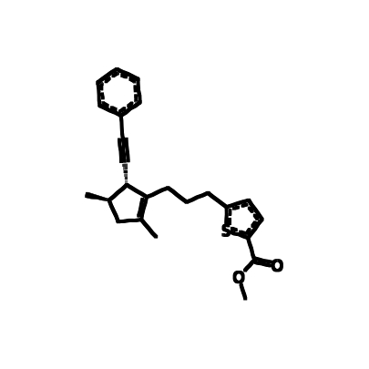 COC(=O)c1ccc(CCCC2=C(C)C[C@@H](C)[C@@H]2C#Cc2ccccc2)s1